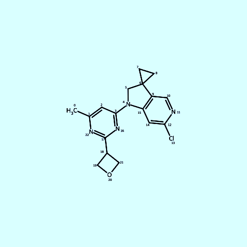 Cc1cc(N2CC3(CC3)c3cnc(Cl)cc32)nc(C2COC2)n1